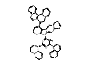 C1=CC2CC=CC(C3=NC(c4cccc5ccccc45)NC(n4c5c(c6cc7ccccc7cc64)C(C4Cc6ccccc6-c6c4ccc4ccccc64)=CCC5)=N3)C2C=C1